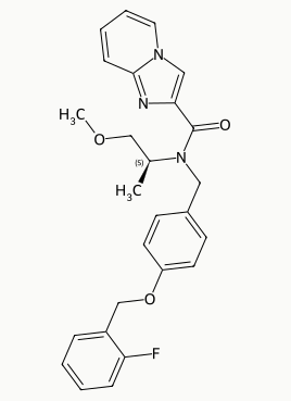 COC[C@H](C)N(Cc1ccc(OCc2ccccc2F)cc1)C(=O)c1cn2ccccc2n1